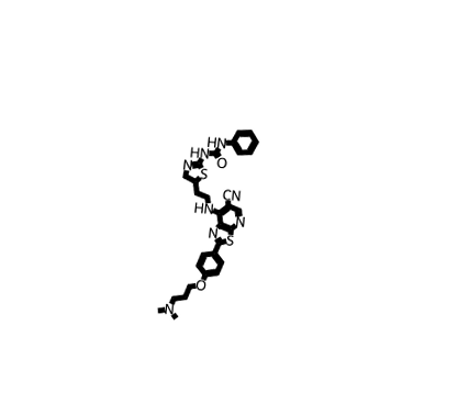 CN(C)CCCOc1ccc(-c2nc3c(NCCC4CN=C(NC(=O)Nc5ccccc5)S4)c(C#N)cnc3s2)cc1